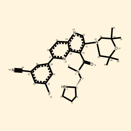 CN(C[C@@H]1CCCN1)C(=O)c1c(N2CC(C)(C)OC(C)(C)C2)cnc2ccc(-c3cc(F)cc(C#N)c3)nc12